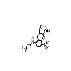 CCC(Cc1cc([N+](=O)[O-])ccc1NC1CC(F)(F)C1)C(=O)O